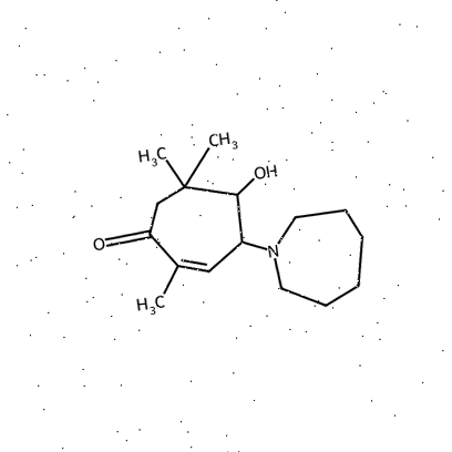 CC1=CC(N2CCCCCC2)C(O)C(C)(C)CC1=O